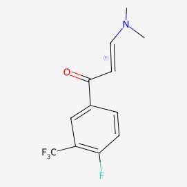 CN(C)/C=C/C(=O)c1ccc(F)c(C(F)(F)F)c1